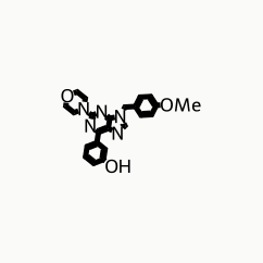 COc1ccc(Cn2cnc3c(-c4cccc(O)c4)nc(N4CCOCC4)nc32)cc1